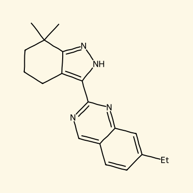 CCc1ccc2cnc(-c3[nH]nc4c3CCCC4(C)C)nc2c1